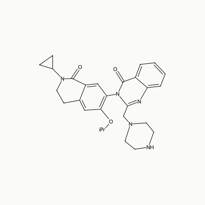 CC(C)Oc1cc2c(cc1-n1c(CN3CCNCC3)nc3ccccc3c1=O)C(=O)N(C1CC1)CC2